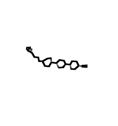 CCCCCC[C@H]1CC[C@H]([C@H]2CC[C@H]([C@H]3CC[C@@H](C#N)CC3)CC2)CC1